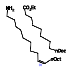 CCCCCCCC/C=C\CCCCCCCCN.CCCCCCCCCCCCCCCCCC(=O)OCC